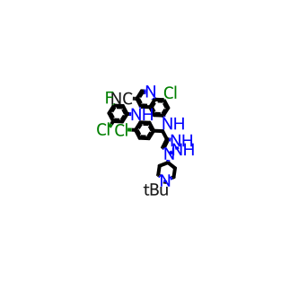 CC(C)(C)N1CCC(N2C=C([C@@H](Nc3cc(Cl)c4ncc(C#N)c(Nc5cc(F)cc(Cl)c5)c4c3)c3ccc(Cl)cc3)NN2)CC1